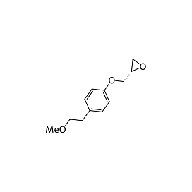 COCCc1ccc(OC[C@@H]2CO2)cc1